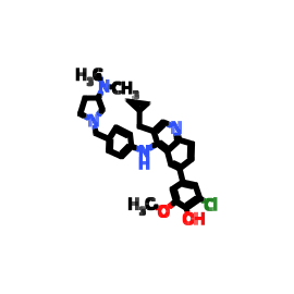 COc1cc(-c2ccc3ncc(CC4CC4)c(Nc4ccc(CN5CCC(N(C)C)C5)cc4)c3c2)cc(Cl)c1O